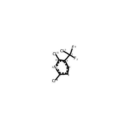 FC(F)(Cl)c1ccc(Cl)nc1Cl